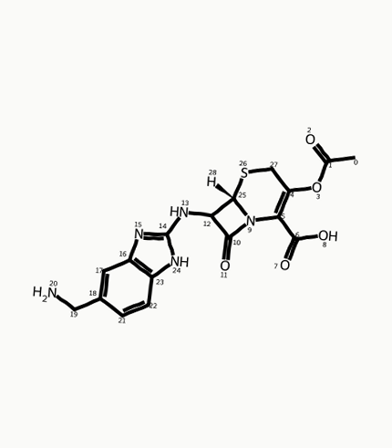 CC(=O)OC1=C(C(=O)O)N2C(=O)C(Nc3nc4cc(CN)ccc4[nH]3)[C@@H]2SC1